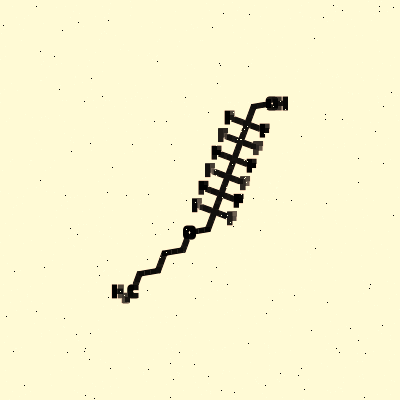 CCCCCOCC(F)(F)C(F)(F)C(F)(F)C(F)(F)C(F)(F)C(F)(F)CO